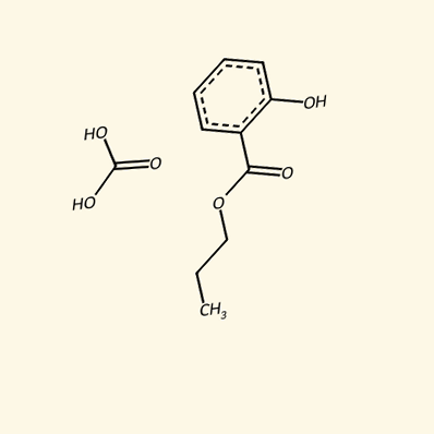 CCCOC(=O)c1ccccc1O.O=C(O)O